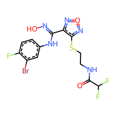 O=C(NCCSc1nonc1/C(=N/O)Nc1ccc(F)c(Br)c1)C(F)F